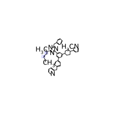 CC/C=C\C=C(/C)c1nc(Cc2ccccc2)nc(-c2cc(-c3ccc(Cc4ccccn4)cc3)cc(C3CCC(c4cccnc4C)CC3)c2)n1